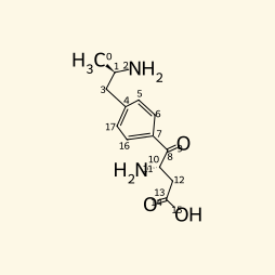 C[C@@H](N)Cc1ccc(C(=O)[C@@H](N)CC(=O)O)cc1